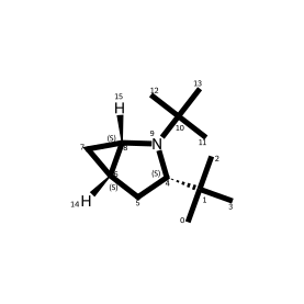 CC(C)(C)[C@@H]1C[C@@H]2C[C@@H]2N1C(C)(C)C